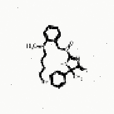 CC(C)CCCCN(C)c1ccccc1C[S+]([O-])C1=NC(=S)C(C)(c2ccccc2)N1